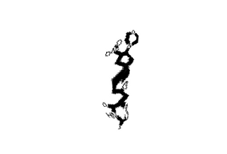 O=C1NC(=S)S/C1=C/c1ccc(-c2ccc(N3CCOCC3)c([N+](=O)[O-])c2)o1